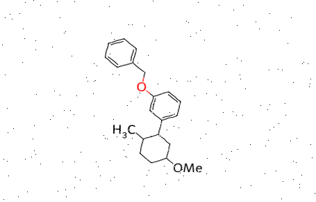 COC1CCC(C)C(c2cccc(OCc3ccccc3)c2)C1